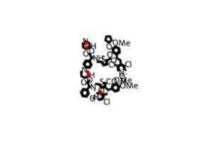 COc1ccc(C(Cc2c(Cl)c[n+]([O-])cc2Cl)OC(=O)c2ccc(CNC(C(=O)O[C@H]3CN4CCC3CC4)c3ccccc3)s2)cc1OC1CCCC1.COc1ccc([C@H](Cc2c(Cl)c[n+]([O-])cc2Cl)c2cc(CN(C)C(C(=O)O[C@H]3CN4CCC3CC4)c3ccccc3)sc2C(=O)O)cc1OC